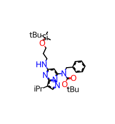 CC(C)c1cnn2c(N(Cc3ccccc3)C(=O)OC(C)(C)C)cc(NCCCO[Si](C)(C)C(C)(C)C)nc12